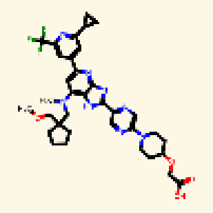 COCC1(CN(C)c2cc(-c3cc(C4CC4)nc(C(F)(F)F)c3)nc3nc(-c4cnc(N5CCC(OCC(=O)O)CC5)cn4)[nH]c23)CCCC1